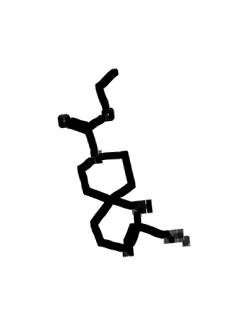 CCOC(=O)N1CCC2(CCN=C(N)N2)CC1